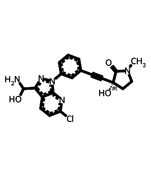 CN1CC[C@@](O)(C#Cc2cccc(-n3nc(C(N)O)c4ccc(Cl)nc43)c2)C1=O